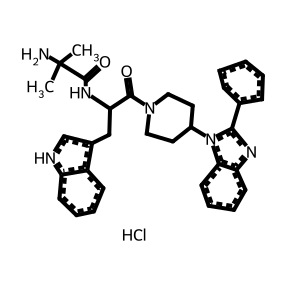 CC(C)(N)C(=O)NC(Cc1c[nH]c2ccccc12)C(=O)N1CCC(n2c(-c3ccccc3)nc3ccccc32)CC1.Cl